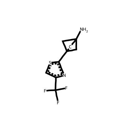 NC12CC(c3nc(C(F)(F)F)cs3)(C1)C2